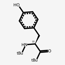 CC(C)(C)N[C@@H](Cc1ccc(O)cc1)C(=O)C(C)(C)C